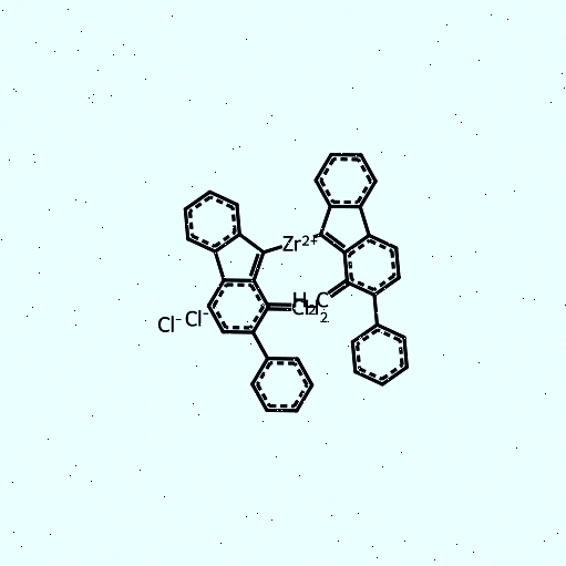 C=c1c(-c2ccccc2)ccc2c1=[C]([Zr+2][C]1=c3c(ccc(-c4ccccc4)c3=C)-c3ccccc31)c1ccccc1-2.[Cl-].[Cl-]